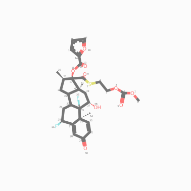 COC(=O)OCCSC(=O)[C@@]1(OC(=O)c2ccco2)[C@H](C)CC2C3C[C@H](F)C4=CC(=O)C=C[C@]4(C)[C@@]3(F)[C@@H](O)C[C@@]21C